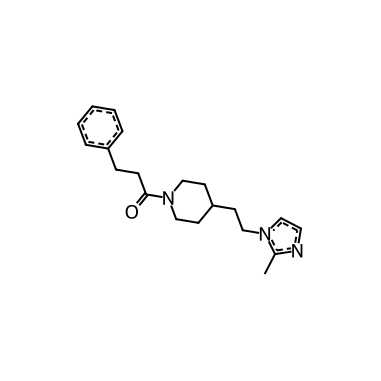 Cc1nccn1CCC1CCN(C(=O)CCc2ccccc2)CC1